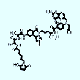 C#CCN(Cc1cnc2nc(N)nc(N)c2n1)c1ccc(C(=O)N[C@@H](CCCNC(=O)c2ccc(NC(=O)[C@H](C)NC(=O)[C@@H](NC(=O)CCCCCN3C(=O)C=CC3O)C(C)C)cc2-c2nn[nH]n2)C(=O)O)cc1